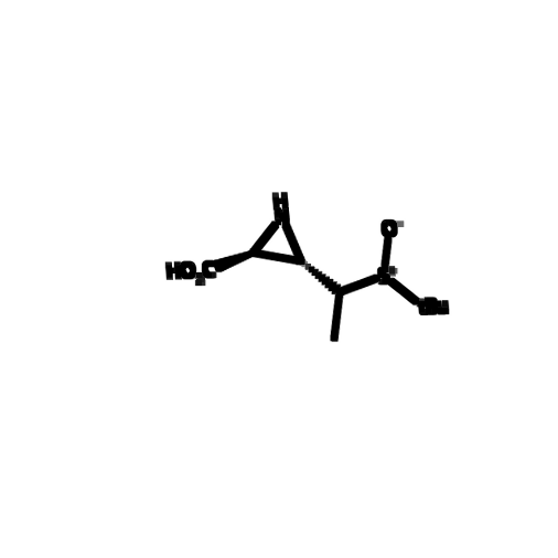 CC([C@H]1N[C@@H]1C(=O)O)[S+]([O-])C(C)(C)C